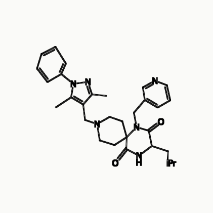 Cc1nn(-c2ccccc2)c(C)c1CN1CCC2(CC1)C(=O)NC(CC(C)C)C(=O)N2Cc1cccnc1